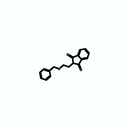 O=C1c2ccccc2C(=O)C1CCOCc1ccccc1